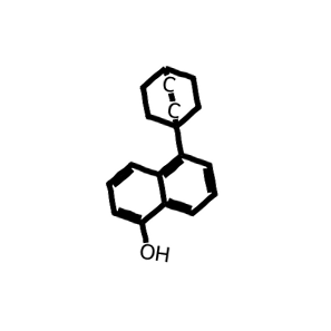 Oc1cccc2c(C34CCC(CC3)CC4)cccc12